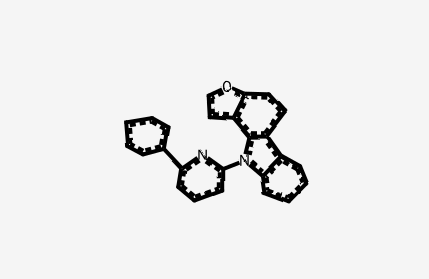 c1ccc(-c2cccc(-n3c4ccccc4c4ccc5occc5c43)n2)cc1